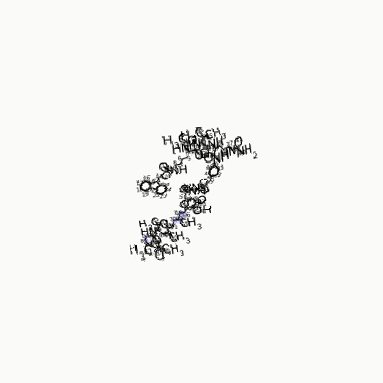 CC(=O)N[C@@H](CCCCNC(=O)OCC1c2ccccc2-c2ccccc21)C(=O)N[C@H](C(=O)N[C@@H](CCCNC(N)=O)C(=O)Nc1ccc(COC(=O)NNC(=O)C[C@@H]2C[C@@]3(CO3)[C@H](O)[C@@H](/C=C/C(C)=C/C[C@@H]3O[C@H](C)[C@H](NC(=O)/C=C\[C@H](C)OC(C)=O)C[C@@H]3C)O2)cc1)C(C)C